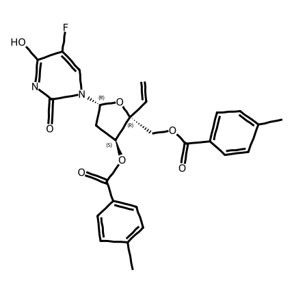 C=C[C@]1(COC(=O)c2ccc(C)cc2)O[C@@H](n2cc(F)c(O)nc2=O)C[C@@H]1OC(=O)c1ccc(C)cc1